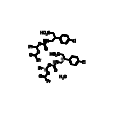 CC(C)C(=O)OC(OC(=O)NCC(CC(=O)O)c1ccc(Cl)cc1)C(C)C.CC(C)C(=O)O[C@@H](OC(=O)NC[C@H](CC(=O)O)c1ccc(Cl)cc1)C(C)C.O